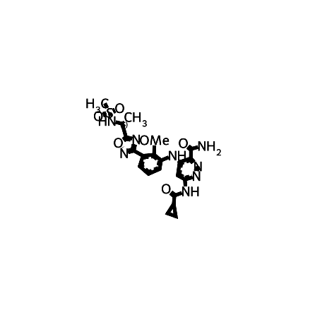 COc1c(Nc2cc(NC(=O)C3CC3)nnc2C(N)=O)cccc1-c1noc([C@H](C)NS(C)(=O)=O)n1